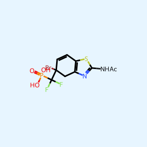 CC(=O)Nc1nc2c(s1)C=CC(Br)(C(F)(F)P(=O)(O)O)C2